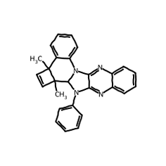 CC12C=CC1(C)C1N(c3ccccc3)c3nc4ccccc4nc3N1c1ccccc12